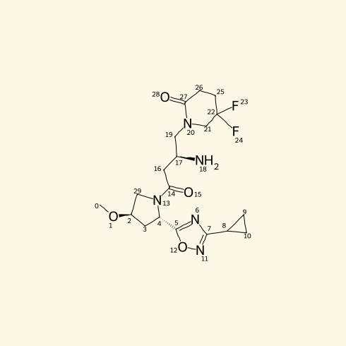 CO[C@@H]1C[C@@H](c2nc(C3CC3)no2)N(C(=O)C[C@H](N)CN2CC(F)(F)CCC2=O)C1